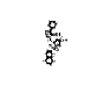 Nc1c(-c2ccccc2)nnn1C[C@@H]1C[C@@H](S)CN1S(=O)(=O)c1ccc2ccccc2c1